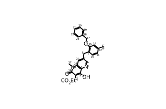 CCOC(=O)c1c(O)c2ncc(Cc3ccc(F)cc3OCc3ccccc3)cc2n(C)c1=O